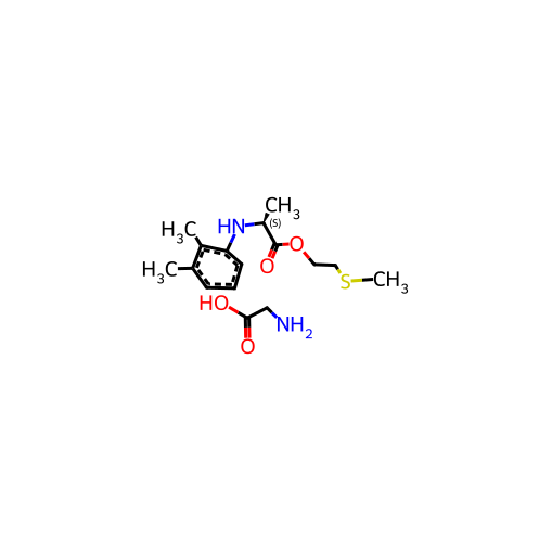 CSCCOC(=O)[C@H](C)Nc1cccc(C)c1C.NCC(=O)O